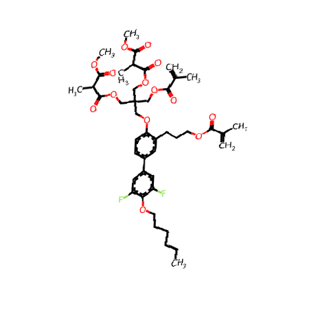 C=C(C)C(=O)OCCCc1cc(-c2cc(F)c(OCCCCCC)c(F)c2)ccc1OCC(COC(=O)C(=C)C)(COC(=O)C(C)C(=O)OC)COC(=O)C(C)C(=O)OC